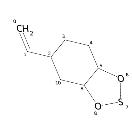 C=CC1CCC2OSOC2C1